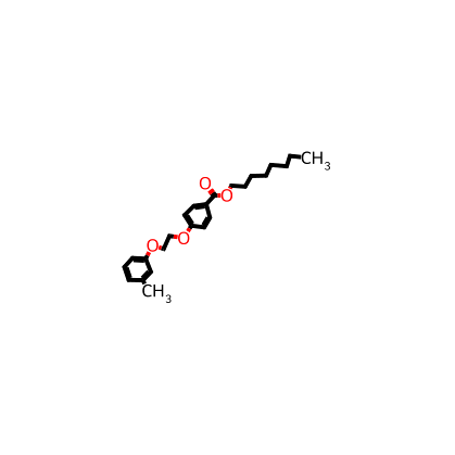 CCCCCCCCOC(=O)c1ccc(OCCOc2cccc(C)c2)cc1